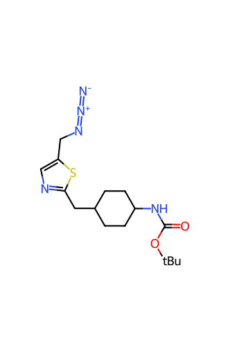 CC(C)(C)OC(=O)NC1CCC(Cc2ncc(CN=[N+]=[N-])s2)CC1